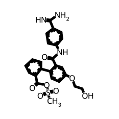 CS(=O)(=O)OC(=O)c1ccccc1-c1ccc(OCCO)cc1C(=O)Nc1ccc(C(=N)N)cc1